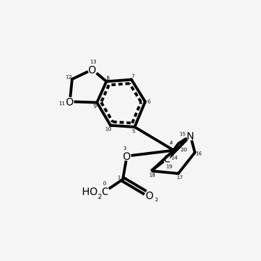 O=C(O)C(=O)OC1(c2ccc3c(c2)OCO3)CN2CCC1CC2